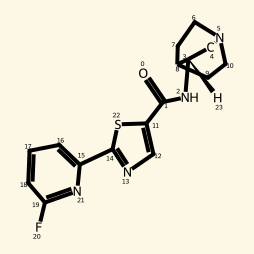 O=C(N[C@H]1CN2CCC1CC2)c1cnc(-c2cccc(F)n2)s1